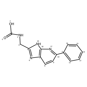 O=C(O)NCc1nc2ccc(-c3ccccc3)nc2[nH]1